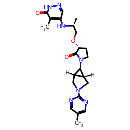 C[C@@H](CO[C@@H]1CCN([C@H]2[C@@H]3CN(c4ncc(C(F)(F)F)cn4)C[C@@H]32)C1=O)Nc1cn[nH]c(=O)c1C(F)(F)F